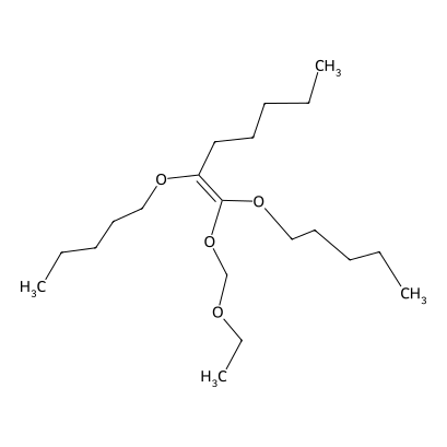 CCCCCOC(CCCCC)=C(OCCCCC)OCOCC